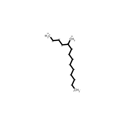 [CH2]CCCCCCCCC(C)CCC[CH2]